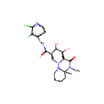 CN1C(=O)C2=C(O)C(O)C(C(=O)NCc3ccnc(Cl)c3F)=CN2N2CCCC[C@@H]12